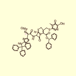 CO/N=C(\C(=O)NC1C(=O)N2C(C(=O)OC(c3ccccc3)c3ccccc3)=C(CSc3nnc(O)c(=O)n3C)CS[C@H]12)c1csc(NC(c2ccccc2)(c2ccccc2)c2ccccc2)n1